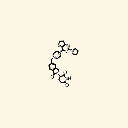 O=C1CCC(N2Cc3cc(CN4CCN(c5nc(N6CCCC6)nc6c5SCC6)CC4)ccc3C2=O)C(=O)N1